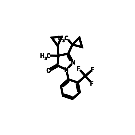 CC1(C2=NN(c3ccccc3C(F)(F)F)C(=O)C2(C)C2CC2)CC1